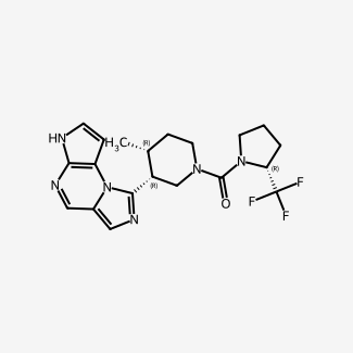 C[C@@H]1CCN(C(=O)N2CCC[C@@H]2C(F)(F)F)C[C@@H]1c1ncc2cnc3[nH]ccc3n12